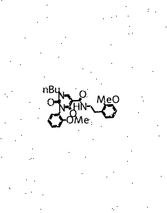 CCCCn1cc(C(=O)NCCc2ccccc2OC)c(=O)n(-c2ccccc2OC)c1=O